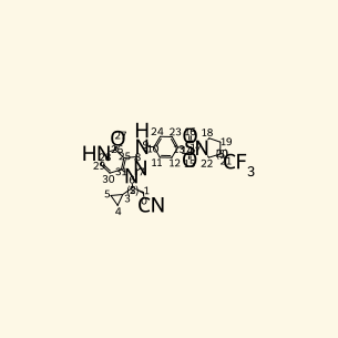 N#CC[C@@H](C1CC1)n1nc(Nc2ccc(S(=O)(=O)N3CC[C@H](C(F)(F)F)C3)cc2)c2c(=O)[nH]ccc21